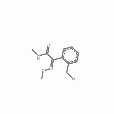 CNC(=O)C(=NOC)c1ccccc1CBr